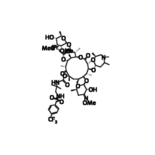 CO/N=C1\C[C@@H](C)O[C@@H](O[C@@H]2[C@@H](C)[C@H](O[C@H]3CC(C)N(C)C[C@H](C)O3)[C@@H](C)C(=O)O[C@H]([C@@H](C)CO[C@@H]3O[C@H](C)[C@@H](O)[C@@H](OC)[C@H]3OC)[C@H](C)[C@@H](OC(=O)CC(C)C)[C@@H](C)C(=O)[C@@](C)(OC(=O)NC(C)(C)CNS(=O)(=O)c3ccc(C(F)(F)F)cc3)C[C@@H]2C)[C@@H]1O